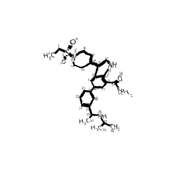 CCS(=O)(=O)N1CCC(c2c[nH]c3c(C(N)=O)cc(-c4cccc(C(C)NC(C)C)c4)cc23)CC1